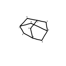 [CH]1C2C[C]3CC1CC(C3)C2